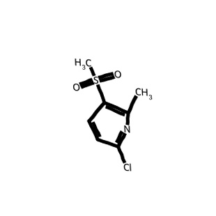 Cc1nc(Cl)ccc1S(C)(=O)=O